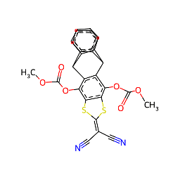 COC(=O)Oc1c2c(c(OC(=O)OC)c3c1C1c4ccccc4C3c3ccccc31)SC(=C(C#N)C#N)S2